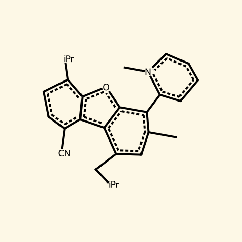 Cc1cc(CC(C)C)c2c(oc3c(C(C)C)ccc(C#N)c32)c1-c1cccc[n+]1C